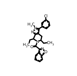 CCC1Cc2c(nn(C)c2-c2cccc(Cl)c2)C(CC)N1C(=O)c1noc2ccccc12